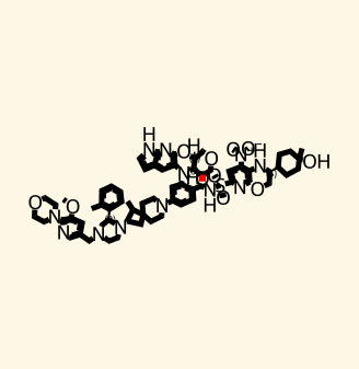 COc1cc(CN2CCN(C3CC4(CCN(c5ccc(C(=O)NS(=O)(=O)c6cc([N+](=O)[O-])c7c(n6)OC[C@H](C6CCC(C)(O)CC6)N7)c(N6c7cc8cc[nH]c8nc7O[C@H]7COCC[C@@H]76)c5)CC4)C3C)[C@H](c3ccccc3C)C2)cnc1N1CCOCC1